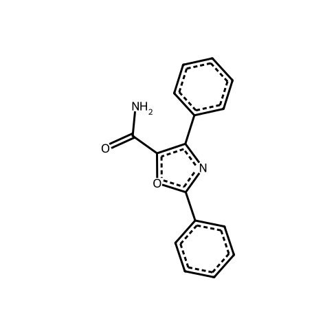 NC(=O)c1oc(-c2ccccc2)nc1-c1ccccc1